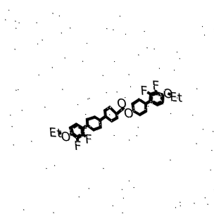 CCOc1ccc(C2CCC(OC(=O)C3CCC(C4CCC(c5ccc(OCC)c(F)c5F)CC4)CC3)CC2)c(F)c1F